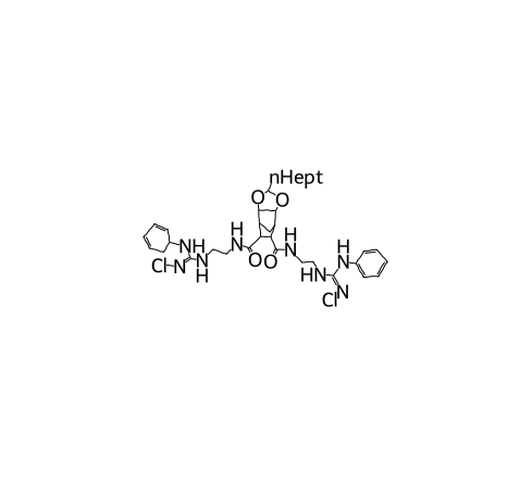 CCCCCCCC1OC2C3CC(C2O1)C(C(=O)NCCN/C(=N\Cl)Nc1ccccc1)C3C(=O)NCCN/C(=N/Cl)NC1C=CC=CC1